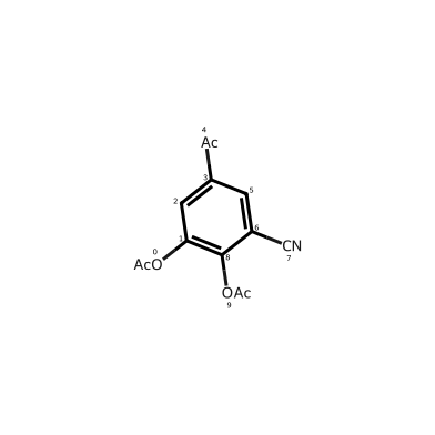 CC(=O)Oc1cc(C(C)=O)cc(C#N)c1OC(C)=O